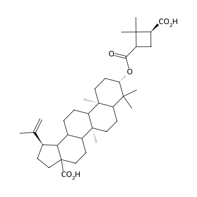 C=C(C)[C@@H]1CCC2(C(=O)O)CCC3C(CCC4[C@@]3(C)CCC3C(C)(C)[C@@H](OC(=O)C5C[C@H](C(=O)O)C5(C)C)CC[C@@]34C)C12